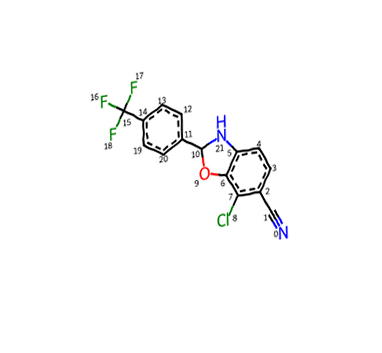 N#Cc1ccc2c(c1Cl)OC(c1ccc(C(F)(F)F)cc1)N2